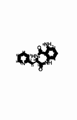 Nc1cccc2c1C(=O)N[C@H](Cc1ccccn1)C(=O)N2